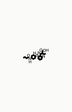 CCCC(=O)N[C@H]1CC[C@H](Oc2cccc3nc(C)c(C(=O)O)c(N)c23)CC1